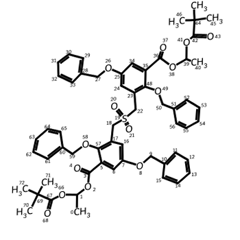 CC(OC(=O)c1cc(OCc2ccccc2)cc(CS(=O)(=O)Cc2cc(OCc3ccccc3)cc(C(=O)OC(C)OC(=O)C(C)(C)C)c2OCc2ccccc2)c1OCc1ccccc1)OC(=O)C(C)(C)C